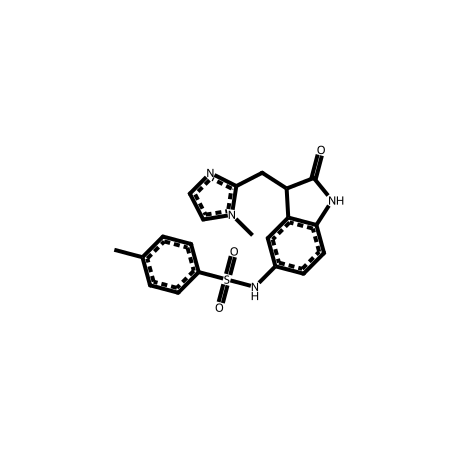 Cc1ccc(S(=O)(=O)Nc2ccc3c(c2)C(Cc2nccn2C)C(=O)N3)cc1